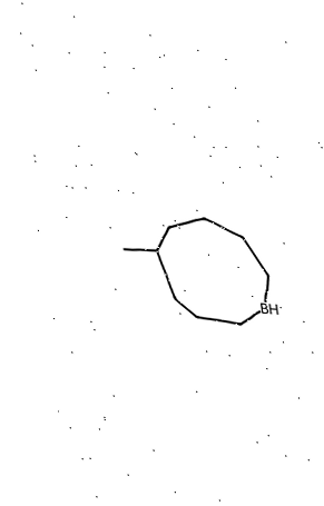 CC1CCCBCCCC1